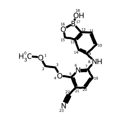 COCCOc1nc(Nc2ccc3c(c2)COB3O)ccc1C#N